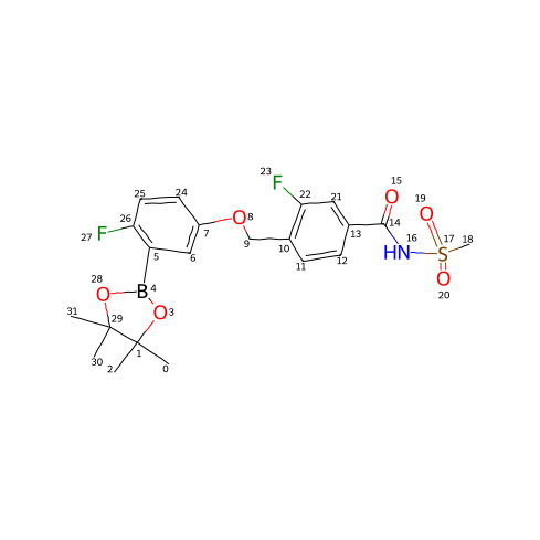 CC1(C)OB(c2cc(OCc3ccc(C(=O)NS(C)(=O)=O)cc3F)ccc2F)OC1(C)C